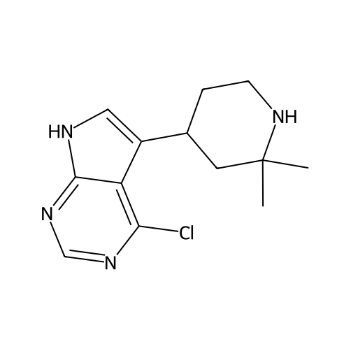 CC1(C)CC(c2c[nH]c3ncnc(Cl)c23)CCN1